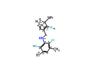 C=C/C(CNc1c(F)c(C)cc(CC)c1F)=C(/F)C(C)C(C)C